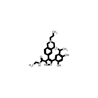 CCCN1CCc2cc(C3=C(c4cc(C(C)C)c(O)cc4O)ONC3C(=O)NCC)ccc2C1